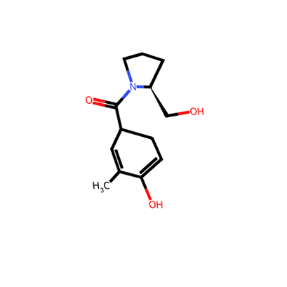 CC1=CC(C(=O)N2CCC[C@H]2CO)CC=C1O